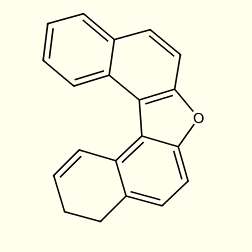 C1=Cc2c(ccc3oc4ccc5ccccc5c4c23)CC1